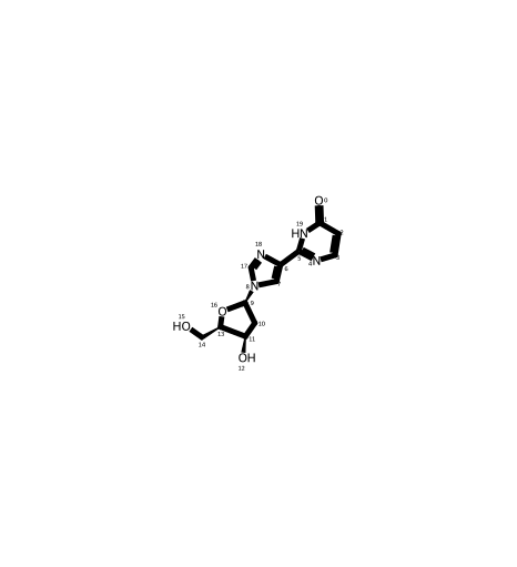 O=c1ccnc(-c2cn([C@H]3C[C@@H](O)[C@@H](CO)O3)cn2)[nH]1